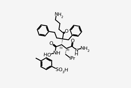 CC(C)C[C@@H](C(=O)NN)[C@H](C(=O)NO)C(CCc1ccccc1)(Cc1ccccc1)C(=O)CCCN.Cc1ccc(S(=O)(=O)O)cc1